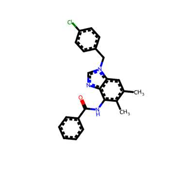 Cc1cc2c(ncn2Cc2ccc(Cl)cc2)c(NC(=O)c2ccccc2)c1C